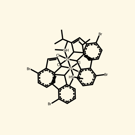 CC(C)C1=Cc2c(Br)cccc2[CH]1[Zr]([Cl])([Cl])([CH]1C(C(C)C)=Cc2c(Br)cccc21)([SiH](C)C)[Zr]([Cl])([Cl])([CH]1C=Cc2c(Br)cccc21)([CH]1C=Cc2c(Br)cccc21)[SiH](C)C